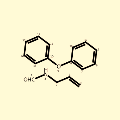 C=CCNC=O.c1ccc(Oc2ccccc2)cc1